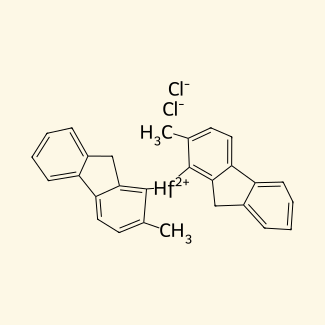 Cc1ccc2c([c]1[Hf+2][c]1c(C)ccc3c1Cc1ccccc1-3)Cc1ccccc1-2.[Cl-].[Cl-]